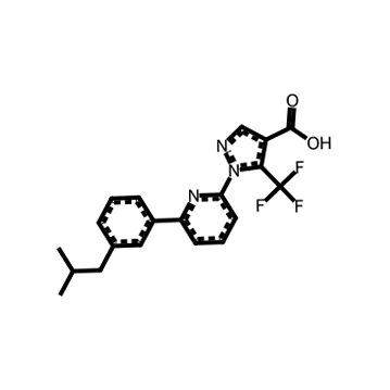 CC(C)Cc1cccc(-c2cccc(-n3ncc(C(=O)O)c3C(F)(F)F)n2)c1